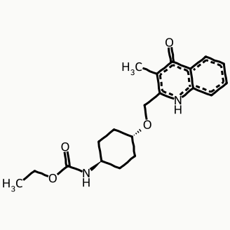 CCOC(=O)N[C@H]1CC[C@H](OCc2[nH]c3ccccc3c(=O)c2C)CC1